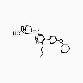 CCCCc1nnc(O[C@H]2CC3C[C@@H](O)C(C2)N3C)cc1-c1ccc(OC2CCCCC2)cc1